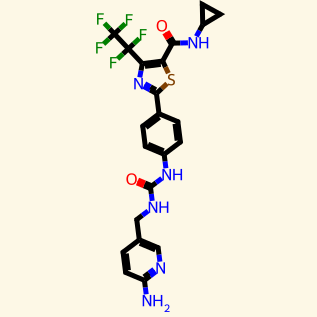 Nc1ccc(CNC(=O)Nc2ccc(-c3nc(C(F)(F)C(F)(F)F)c(C(=O)NC4CC4)s3)cc2)cn1